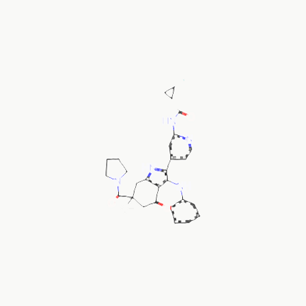 CC1(C(=O)N2CCCC2)CC(=O)c2c([nH]c(-c3ccnc(NC(=O)[C@@H]4C[C@@H]4F)c3)c2Nc2ccccc2)C1